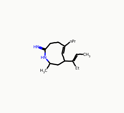 CC=C(CC)C1/C=C(\CCC)CCC(=N)NC(C)C1